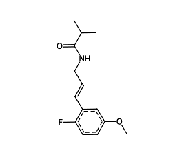 COc1ccc(F)c(C=CCNC(=O)C(C)C)c1